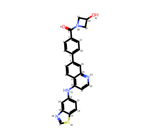 O=C(c1ccc(-c2ccc3c(Nc4ccc5scnc5c4)ccnc3c2)cc1)N1CC(O)C1